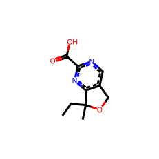 CCC1(C)OCc2cnc(C(=O)O)nc21